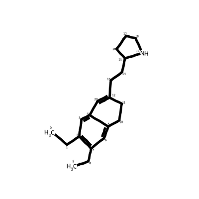 CCc1cc2c(cc1CC)CCC(CCC1CCCN1)=C2